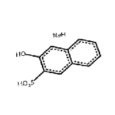 O=S(=O)(O)c1cc2ccccc2cc1O.[NaH]